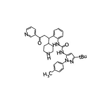 Cc1ccc(-n2nc(C(C)(C)C)cc2NC(=O)Nc2ccccc2C(CC(=O)c2cccnc2)C2CCNCC2)cc1